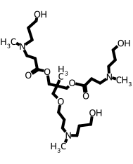 CN(CCCO)CCCOCC(C)(COC(=O)CCN(C)CCCO)COC(=O)CCN(C)CCCO